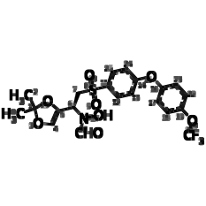 CC1(C)OC=C([C@@H](CS(=O)(=O)c2ccc(Oc3ccc(OC(F)(F)F)cc3)cc2)N(O)C=O)O1